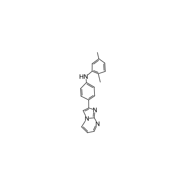 Cc1ccc(C)c(Nc2ccc(-c3cn4cccnc4n3)cc2)c1